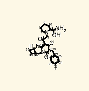 NC1=C(C(=O)CN2CCCCC2C(N)O)C(=O)N(Cc2ccc(F)cc2)C(O)N1CC1CCC1